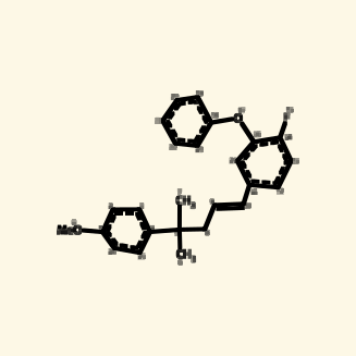 COc1ccc(C(C)(C)CC=Cc2ccc(F)c(Oc3ccccc3)c2)cc1